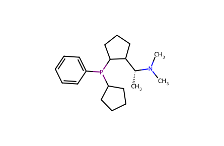 C[C@H](C1CCCC1P(c1ccccc1)C1CCCC1)N(C)C